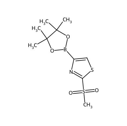 CC1(C)OB(c2csc(S(C)(=O)=O)n2)OC1(C)C